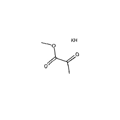 COC(=O)C(C)=O.[KH]